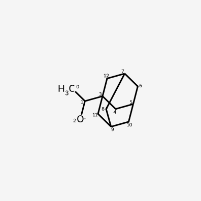 CC([O])C12CC3CC(CC(C3)C1)C2